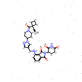 C#CC1(C(=O)N2CCC(n3cc(CNc4cccc5c4C(=O)N(C4CCC(=O)NC4=O)C5=O)cn3)CC2)CCC1